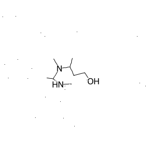 CNC(C)N(C)C(C)CCO